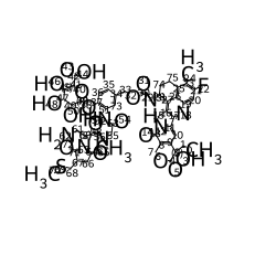 CC[C@@]1(O)C(=O)OCc2c1cc1n(c2=O)Cc2c-1nc1cc(F)c(C)c3c1c2[C@@H](NC(=O)OCc1ccc(O[C@H]2OC(C(=O)O)[C@@H](O)C(O)C2O)c(NC(=O)CN(C)C(=O)[C@H](CN)N2C(=O)CC(CSC)C2=O)c1)CC3